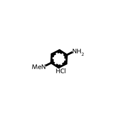 CNc1ccc(N)cc1.Cl